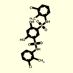 Cc1c(Cl)cccc1NS(=O)(=O)c1cc(S(=O)(=O)Nc2cccc(Cl)c2C)c(O)cc1O